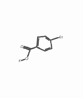 CCc1ccc(C(=O)OF)cc1